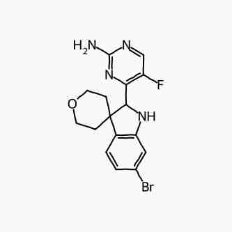 Nc1ncc(F)c(C2Nc3cc(Br)ccc3C23CCOCC3)n1